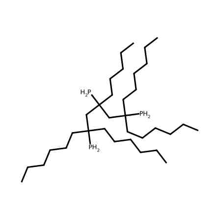 CCCCCCC(P)(CCCCCC)CC(P)(CCCCC)CC(P)(CCCCCC)CCCCCC